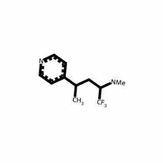 CNC(CC(C)c1ccncc1)C(F)(F)F